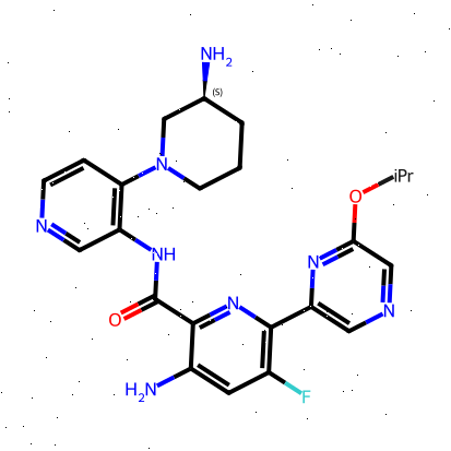 CC(C)Oc1cncc(-c2nc(C(=O)Nc3cnccc3N3CCC[C@H](N)C3)c(N)cc2F)n1